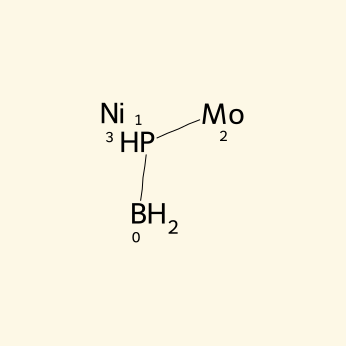 B[PH][Mo].[Ni]